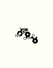 Cc1ccccc1C(=O)Nc1ccc(S(=O)(=O)N[C@H](C)C2CCNCC2)cc1Cl